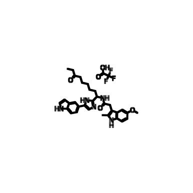 CCC(=O)CCCCCC(NC(=O)Cc1c(C)[nH]c2ccc(OC)cc12)c1ncc(-c2ccc3[nH]ccc3c2)[nH]1.O=C(O)C(F)(F)F